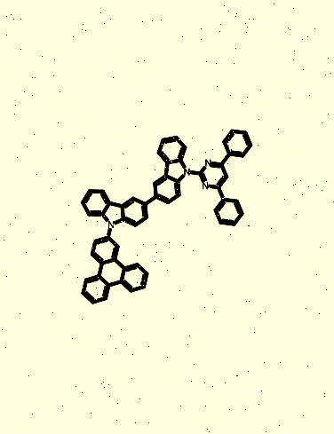 c1ccc(-c2cc(-c3ccccc3)nc(-n3c4ccccc4c4cc(-c5ccc6c(c5)c5ccccc5n6-c5ccc6c7ccccc7c7ccccc7c6c5)ccc43)n2)cc1